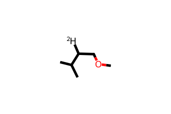 [2H]C(COC)C(C)C